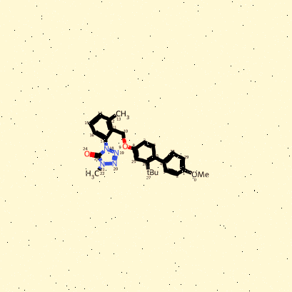 COc1ccc(-c2ccc(OCc3c(C)cccc3-n3nnn(C)c3=O)cc2C(C)(C)C)cc1